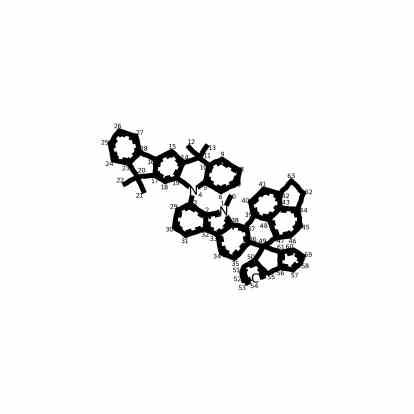 Cn1c2c(N3c4ccccc4C(C)(C)c4cc5c(cc43)C(C)(C)c3ccccc3-5)cccc2c2ccc3c(c21)-c1ccc2c4c(ccc(c14)C31c3ccccc3-c3ccccc31)CC2